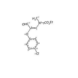 CCOC(=O)N(C)C=C(C=O)Oc1ccc(Cl)cc1